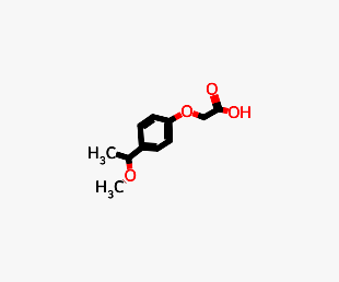 COC(C)c1ccc(OCC(=O)O)cc1